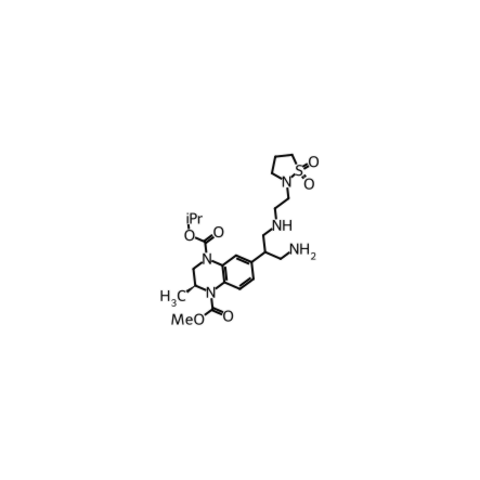 COC(=O)N1c2ccc(C(CN)CNCCN3CCCS3(=O)=O)cc2N(C(=O)OC(C)C)C[C@@H]1C